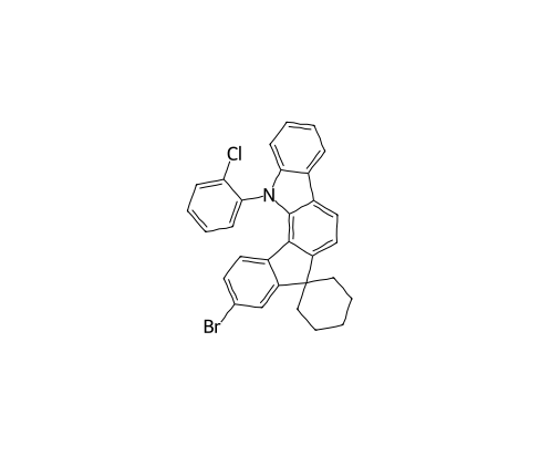 Clc1ccccc1-n1c2ccccc2c2ccc3c(c21)-c1ccc(Br)cc1C31CCCCC1